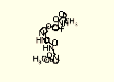 COC(=O)[C@@H]1CCCN1CCCNC(=O)c1c[nH]c(-c2cc(Oc3ccc(F)c(NC(=O)c4occc4C)c3)ccn2)c1